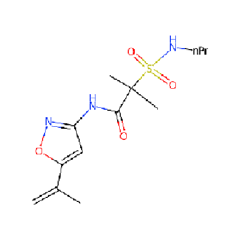 C=C(C)c1cc(NC(=O)C(C)(C)S(=O)(=O)NCCC)no1